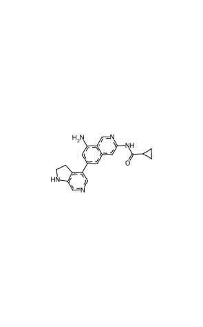 Nc1cc(-c2cncc3c2CCN3)cc2cc(NC(=O)C3CC3)ncc12